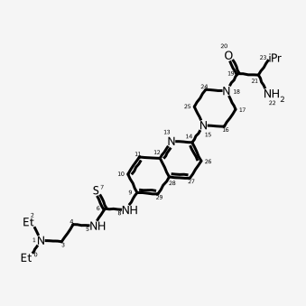 CCN(CC)CCNC(=S)Nc1ccc2nc(N3CCN(C(=O)C(N)C(C)C)CC3)ccc2c1